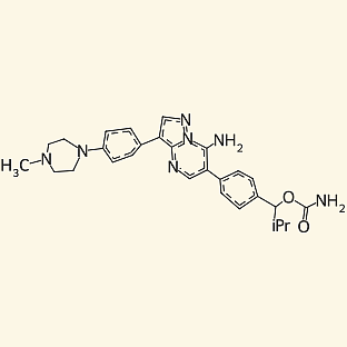 CC(C)C(OC(N)=O)c1ccc(-c2cnc3c(-c4ccc(N5CCN(C)CC5)cc4)cnn3c2N)cc1